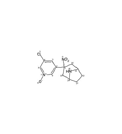 O=[N+]([O-])C1(c2cc(Cl)c[n+]([O-])c2)CC2CCC(C1)N2